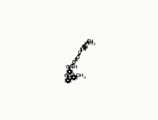 CNCc1cn(CCOCCOCCOCCNC(=O)c2ccc(OC(=O)c3ccccc3-c3ccc(C)cc3)cc2)nn1